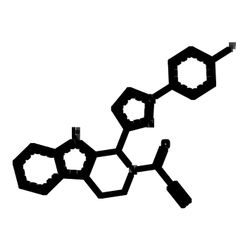 C#CC(=O)N1CCc2c([nH]c3ccccc23)C1c1ccn(-c2ccc(F)cc2)n1